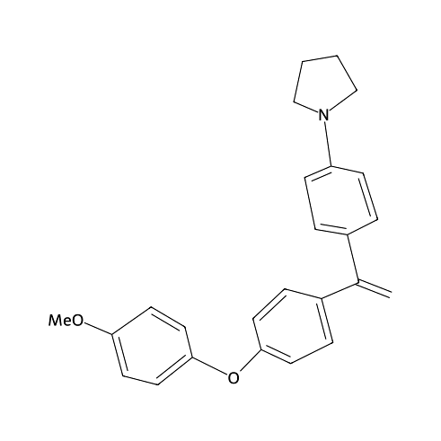 C=C(c1ccc(Oc2ccc(OC)cc2)cc1)c1ccc(N2CCCC2)cc1